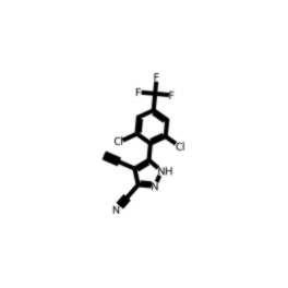 C#Cc1c(C#N)n[nH]c1-c1c(Cl)cc(C(F)(F)F)cc1Cl